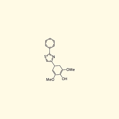 COC1=CC(c2csc(-c3ccccc3)n2)CC(OC)=C1O